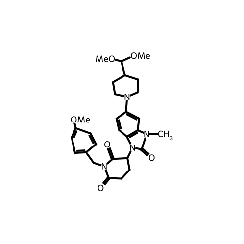 COc1ccc(CN2C(=O)CCC(n3c(=O)n(C)c4cc(N5CCC(C(OC)OC)CC5)ccc43)C2=O)cc1